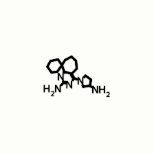 Nc1nc(N2CCC(N)C2)c2c(n1)C1(CCCCC1)CCCC2